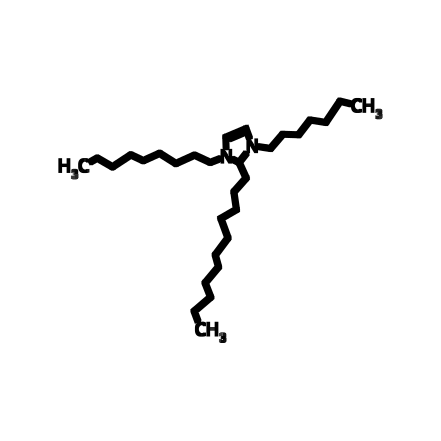 CCCCCCCCCCCC1N(CCCCCCC)C=CN1CCCCCCCCC